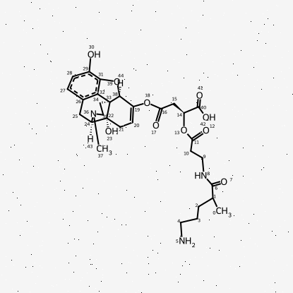 CC(CCCN)C(=O)NCCC(=O)O[C@@H](CC(=O)OC1=CC[C@@]2(O)[C@H]3Cc4ccc(O)c5c4[C@@]2(CCN3C)[C@H]1O5)C(=O)O